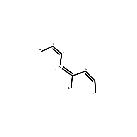 C\C=C/N=C(C)\C=C/C